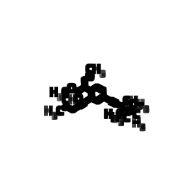 CO/C=C(/C(=O)OC)c1ccc(C#C[Si](C)(C)C(C)(C)C)cc1C#CCC(C)C